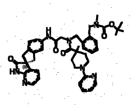 CN(Cc1ccccc1CN(CC(=O)Nc1ccc2c(c1)C[C@@]1(C2)C(=O)Nc2ncccc21)C(=O)C1(C)CCN(c2ccccn2)CC1)C(=O)OC(C)(C)C